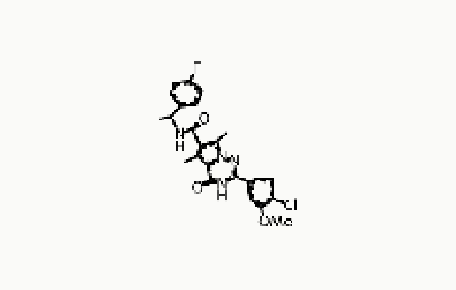 COc1cc(-c2nn3c(C)c(C(=O)NC(C)c4ccc(F)cc4)c(C)c3c(=O)[nH]2)ccc1Cl